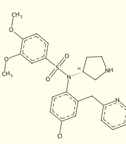 COc1ccc(S(=O)(=O)N(c2ccc(Cl)cc2Cc2ccccn2)[C@@H]2CCNC2)cc1OC